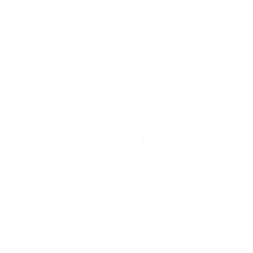 c1ccc(-c2ccc(C3=NC(c4ccc5ccccc5c4)=NC(c4cccc5c(-c6cccc7oc8ccccc8c67)cccc45)N3)cc2)cc1